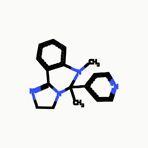 CN1c2ccccc2C2=NCCN2C1(C)c1ccncc1